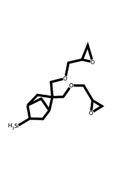 [SiH3]C1CC2CC1CC2(COCC1CO1)COCC1CO1